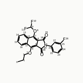 CCCOc1c2c(c(OC(F)F)c3ccccc13)C(=O)N(c1cc[c]c(F)c1)C2=O